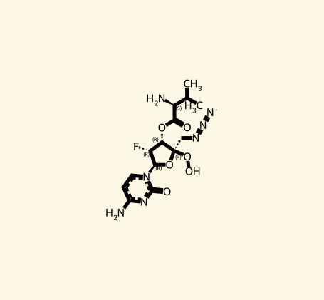 CC(C)[C@H](N)C(=O)O[C@H]1[C@@H](F)[C@H](n2ccc(N)nc2=O)O[C@]1(CN=[N+]=[N-])OO